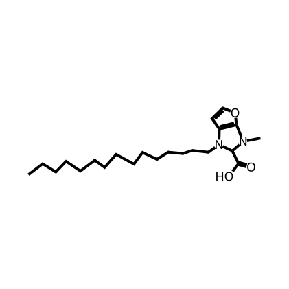 CCCCCCCCCCCCCCCN1c2ccoc2N(C)C1C(=O)O